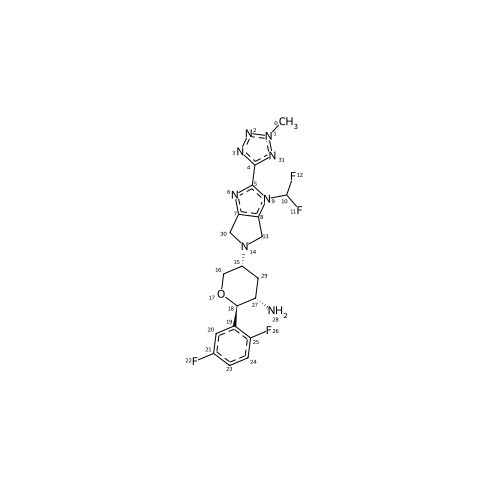 Cn1nnc(-c2nc3c(n2C(F)F)CN([C@H]2CO[C@H](c4cc(F)ccc4F)[C@@H](N)C2)C3)n1